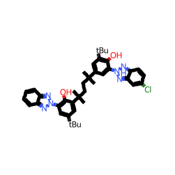 CC(C)(C)c1cc(-n2nc3ccccc3n2)c(O)c(C(C)(C)CCC(C)(C)c2cc(N3N=C4C=C(Cl)C=CC4N3)c(O)c(C(C)(C)C)c2)c1